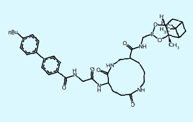 CCCCc1ccc(-c2ccc(C(=O)NCC(=O)NC3CCC(=O)NCCCC(C(=O)NCB4O[C@@H]5CC6CC(C6(C)C)[C@]5(C)O4)CNC3=O)cc2)cc1